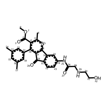 COC(=O)c1c(C)nc2c(c1-c1cc(C)cc(C)c1)C(=O)c1ccc(NC(=O)CNCCO)cc1-2